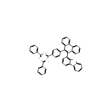 c1ccc(-c2nc(-c3ccccc3)nc(-c3ccc(-c4c(-c5cccc6c5oc5ccccc56)c5ccccc5c5ccccc45)cc3)n2)cc1